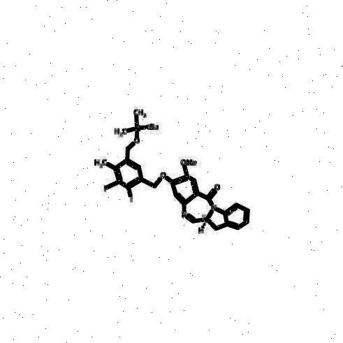 COc1cc2c(cc1OCc1cc(CO[Si](C)(C)C(C)(C)C)c(C)c(I)c1I)N=C[C@@H]1Cc3ccccc3N1C2=O